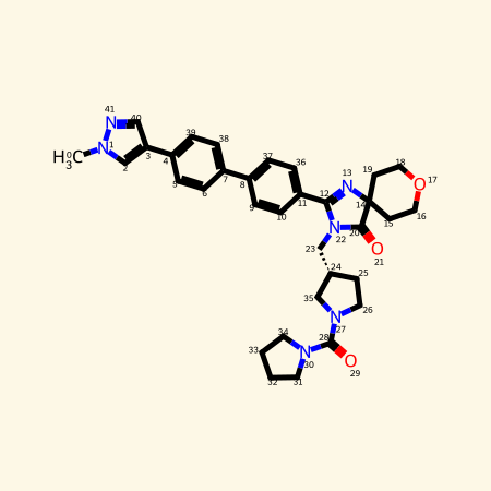 Cn1cc(-c2ccc(-c3ccc(C4=NC5(CCOCC5)C(=O)N4C[C@@H]4CCN(C(=O)N5CCCC5)C4)cc3)cc2)cn1